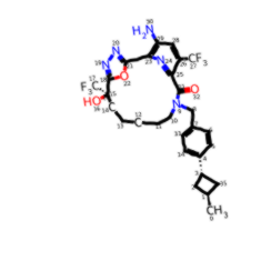 C[C@H]1C[C@H](c2ccc(CN3CCCCC[C@](O)(C(F)(F)F)c4nnc(o4)-c4nc(c(C(F)(F)F)cc4N)C3=O)cc2)C1